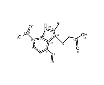 C=Cc1ccc([N+](=O)[O-])c2[nH]c(C)c(CCC(=O)O)c12